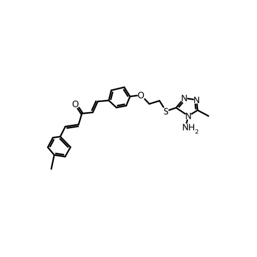 Cc1ccc(C=CC(=O)C=Cc2ccc(OCCSc3nnc(C)n3N)cc2)cc1